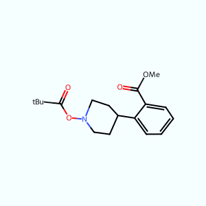 COC(=O)c1ccccc1C1CCN(OC(=O)C(C)(C)C)CC1